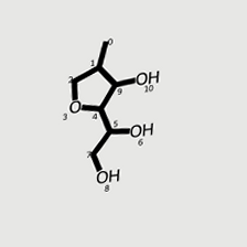 CC1COC(C(O)CO)C1O